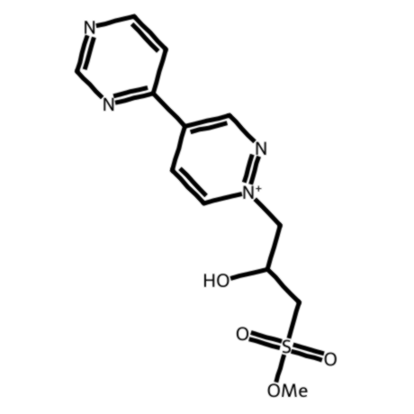 COS(=O)(=O)CC(O)C[n+]1ccc(-c2ccncn2)cn1